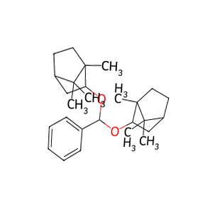 CC1(C)C2CCC1(C)C(OC(OC1CC3CCC1(C)C3(C)C)c1ccccc1)C2